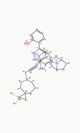 Nc1nnc(-c2ccccc2O)cc1N1CC2CCC(C1)N2c1ccnc(C#CCN2CCCC3(CC2)CC3(F)F)c1